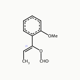 C/C=C(\O[C]=O)c1ccccc1OC